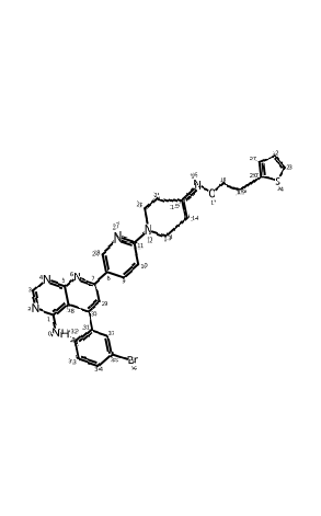 Nc1ncnc2nc(-c3ccc(N4CCC(=NOCCc5cccs5)CC4)nc3)cc(-c3cccc(Br)c3)c12